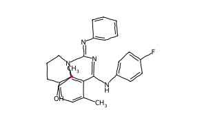 Cc1cccc(C)c1/C(=N\C(=N/c1ccccc1)N1CCCC(O)C1)Nc1ccc(F)cc1